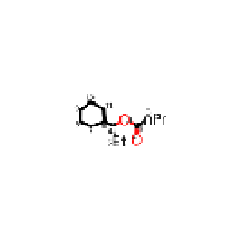 CCCC(=O)O[C@H](CC)C1CCCCC1